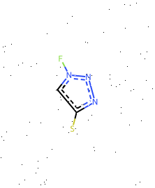 Fn1cc([S])nn1